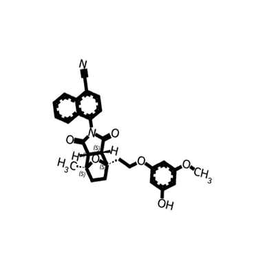 COc1cc(O)cc(OCC[C@]23CC[C@](C)(O2)[C@@H]2C(=O)N(c4ccc(C#N)c5ccccc45)C(=O)[C@@H]23)c1